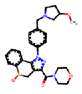 COC1CCN(Cc2ccc(-n3nc(C(=O)N4CCOCC4)c4c3-c3ccccc3[S+]([O-])C4)cc2)C1